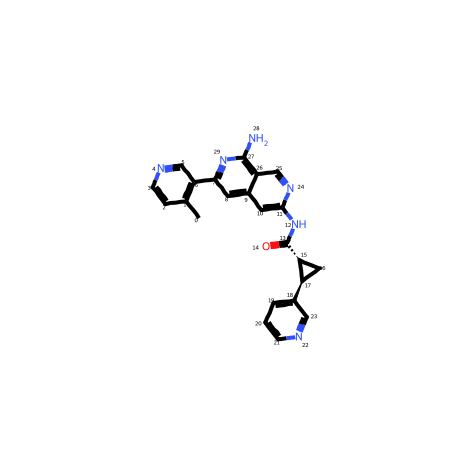 Cc1ccncc1-c1cc2cc(NC(=O)[C@@H]3C[C@H]3c3cccnc3)ncc2c(N)n1